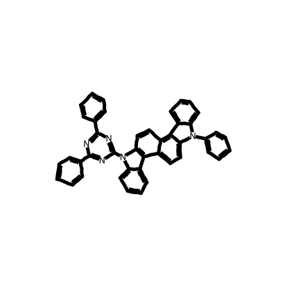 c1ccc(-c2nc(-c3ccccc3)nc(-n3c4ccccc4c4c5ccc6c(c5ccc43)c3ccccc3n6-c3ccccc3)n2)cc1